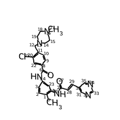 Cc1ccc(NC(=O)c2ccc(CN3CCN(C)CC3)c(Cl)c2)cc1NC(=O)C=Cc1cncnc1